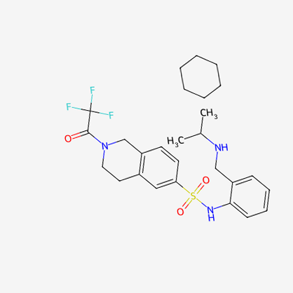 C1CCCCC1.CC(C)NCc1ccccc1NS(=O)(=O)c1ccc2c(c1)CCN(C(=O)C(F)(F)F)C2